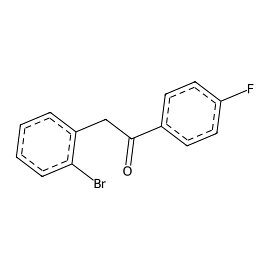 O=C(Cc1ccccc1Br)c1ccc(F)cc1